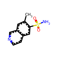 Cc1cc2cnccc2cc1S(N)(=O)=O